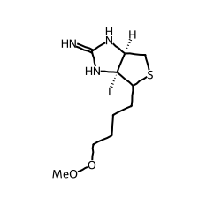 COOCCCCC1SC[C@@H]2NC(=N)N[C@]12I